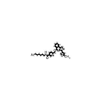 CC(=O)CCCCCCNC(=O)c1ccc(COc2nn3c(-c4cc(C)on4)nnc3c3ccccc23)nc1